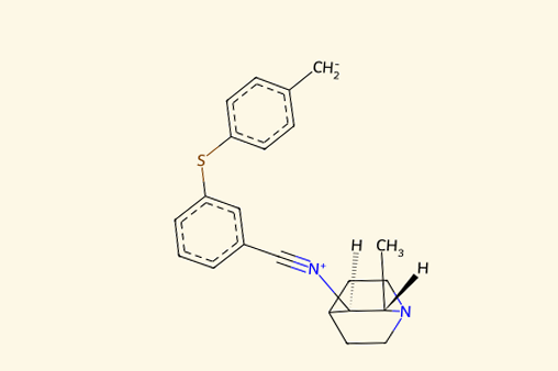 [CH2-]c1ccc(Sc2cccc(C#[N+][C@@H]3C4CCN(CC4)[C@H]3C)c2)cc1